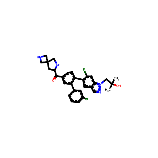 CC(C)(O)Cn1ncc2cc(-c3ccc(C(=O)C4CC5(CNC5)CN4)cc3-c3cccc(F)c3)c(F)cc21